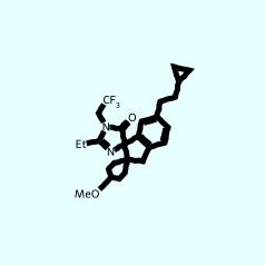 CCC1=NC2(C(=O)N1CC(F)(F)F)c1cc(CCC3CC3)ccc1CC21CCC(OC)CC1